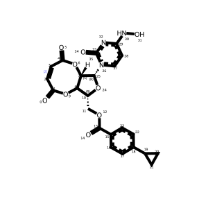 O=C1/C=C\C(=O)O[C@H]2C(O1)[C@@H](COC(=O)c1ccc(C3CC3)cc1)O[C@H]2n1ccc(NO)nc1=O